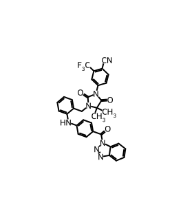 CC1(C)C(=O)N(c2ccc(C#N)c(C(F)(F)F)c2)C(=O)N1Cc1ccccc1Nc1ccc(C(=O)n2nnc3ccccc32)cc1